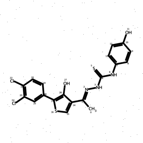 C/C(=N\NC(=S)Nc1ccc(O)cc1)c1csc(-c2ccc(Cl)c(Cl)c2)c1O